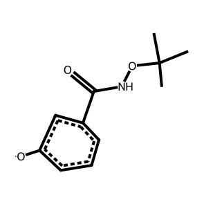 CC(C)(C)ONC(=O)c1cccc([O])c1